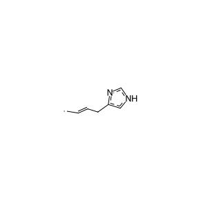 [CH2]C=CCc1c[nH]cn1